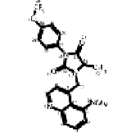 CNc1cccc2nccc(CN3C(=O)N(c4ccc(OC(F)(F)F)cc4)C(=O)C3C)c12